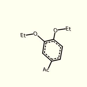 CCOc1ccc(C(C)=O)cc1OCC